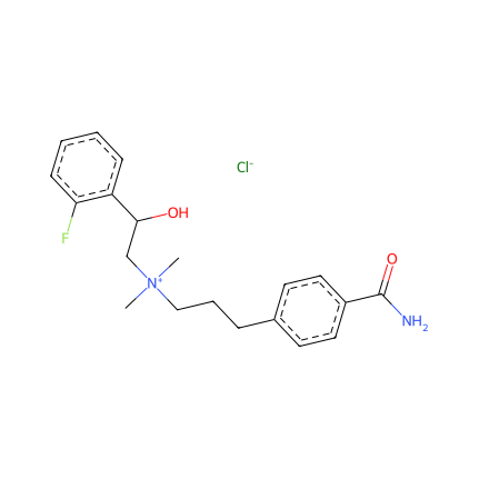 C[N+](C)(CCCc1ccc(C(N)=O)cc1)CC(O)c1ccccc1F.[Cl-]